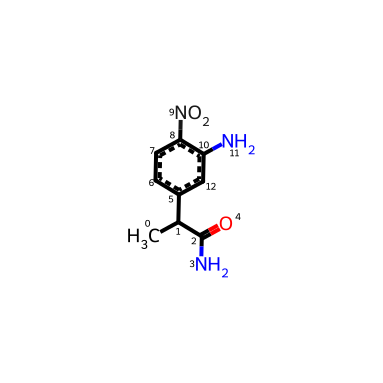 CC(C(N)=O)c1ccc([N+](=O)[O-])c(N)c1